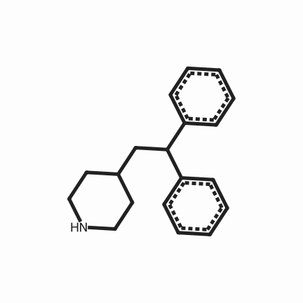 c1ccc(C(CC2CCNCC2)c2ccccc2)cc1